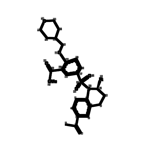 C=C(C)c1ccc2c(c1)CC[C@H](CC)N2S(=O)(=O)c1ccc(OCC2CCOCC2)c(C(=O)OC)c1